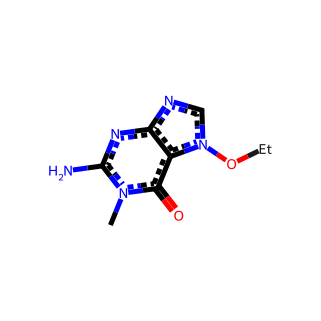 CCOn1cnc2nc(N)n(C)c(=O)c21